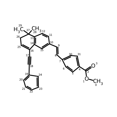 COC(=O)c1ccc(C=Cc2ccc3c(c2)C(C#Cc2ccccc2)=CCC3(C)C)cc1